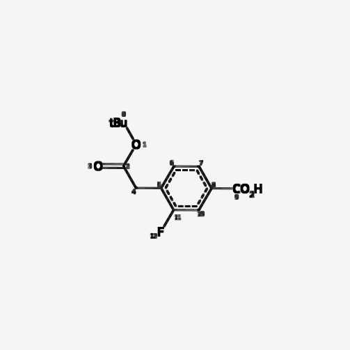 CC(C)(C)OC(=O)Cc1ccc(C(=O)O)cc1F